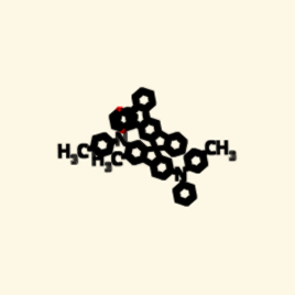 Cc1ccc(N(c2ccccc2)c2ccc3c(c2)C2(c4ccccc4-c4cc5c6ccccc6c6ccccc6c5cc42)c2cc(N(c4ccccc4)c4ccc(C)cc4)c(C)cc2-3)cc1